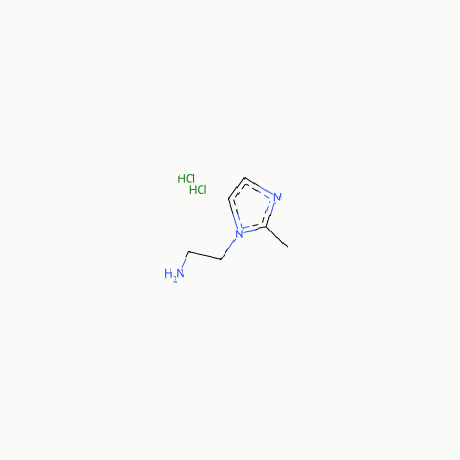 Cc1nccn1CCN.Cl.Cl